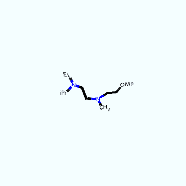 CCN(CCN(C)CCOC)C(C)C